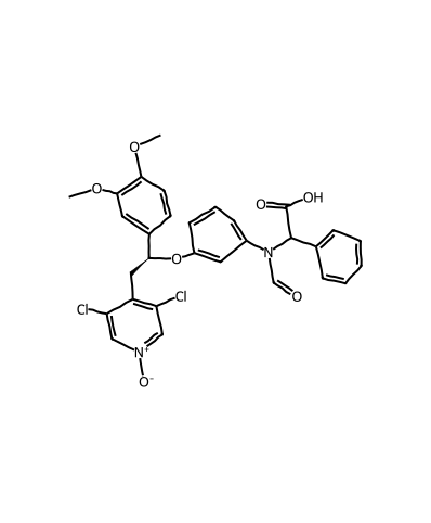 COc1ccc([C@H](Cc2c(Cl)c[n+]([O-])cc2Cl)Oc2cccc(N(C=O)C(C(=O)O)c3ccccc3)c2)cc1OC